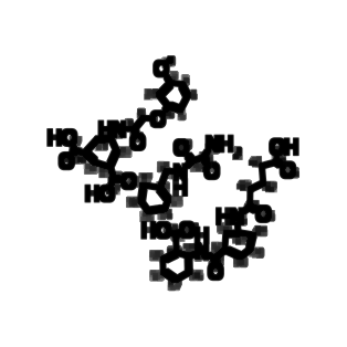 COc1cccc(OCC(=O)Nc2cc(C(=O)O)cc(C(=O)O)c2)c1.NC(=O)C(=O)NCc1ccccc1.O=C(O)CCCC(=O)Nc1cccc(C(=O)Nc2ccccc2C(=O)O)c1